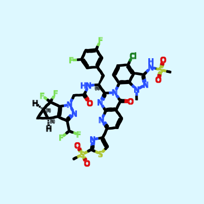 Cn1nc(NS(C)(=O)=O)c2c(Cl)ccc(-n3c([C@H](Cc4cc(F)cc(F)c4)NC(=O)Cn4nc(C(F)F)c5c4C(F)(F)[C@@H]4C[C@H]54)nc4nc(-c5csc(S(C)(=O)=O)n5)ccc4c3=O)c21